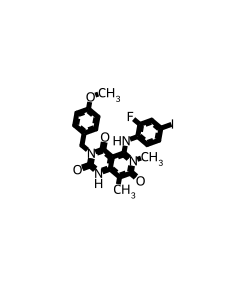 COc1ccc(Cn2c(=O)[nH]c3c(C)c(=O)n(C)c(Nc4ccc(I)cc4F)c3c2=O)cc1